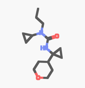 CCCN(C(=O)NC1(C2CCOCC2)CC1)C1CC1